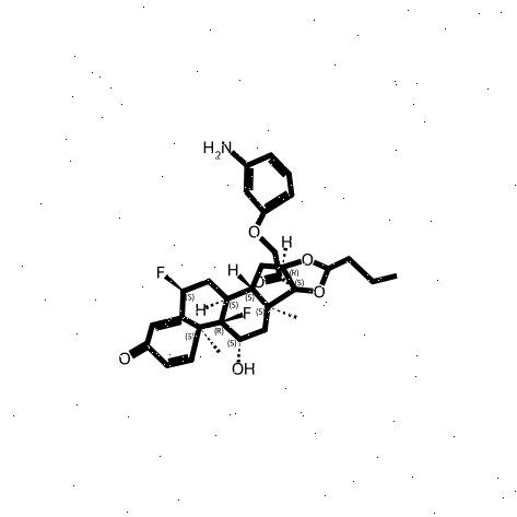 CCCC1O[C@@H]2C[C@H]3[C@@H]4C[C@H](F)C5=CC(=O)C=C[C@]5(C)[C@@]4(F)[C@@H](O)C[C@]3(C)[C@]2(C(=O)COc2cccc(N)c2)O1